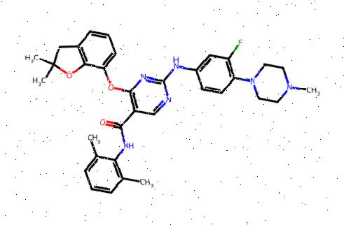 Cc1cccc(C)c1NC(=O)c1cnc(Nc2ccc(N3CCN(C)CC3)c(F)c2)nc1Oc1cccc2c1OC(C)(C)C2